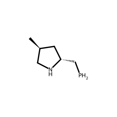 C[C@@H]1CN[C@@H](CP)C1